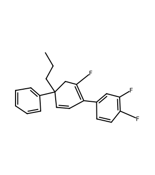 CCCC1(c2ccccc2)C=CC(c2ccc(F)c(F)c2)=C(F)C1